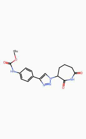 CC(C)(C)OC(=O)Nc1ccc(-c2cn(C3CCCC(=O)NC3=O)nn2)cc1